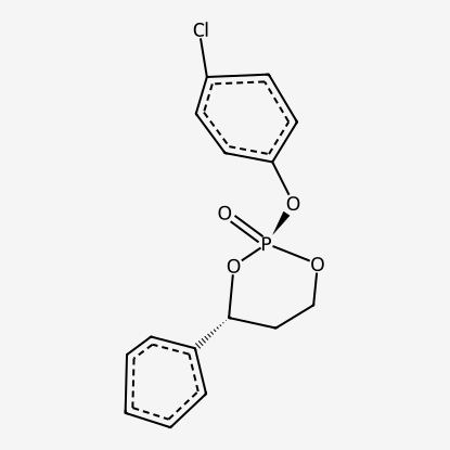 O=[P@]1(Oc2ccc(Cl)cc2)OCC[C@H](c2ccccc2)O1